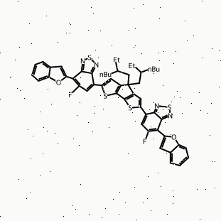 CCCCC(CC)CC1(CC(CC)CCCC)c2cc(-c3cc(F)c(-c4cc5ccccc5o4)c4nsnc34)sc2-c2sc(-c3cc(F)c(-c4cc5ccccc5o4)c4nsnc34)cc21